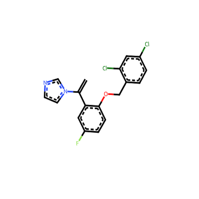 C=C(c1cc(F)ccc1OCc1ccc(Cl)cc1Cl)n1ccnc1